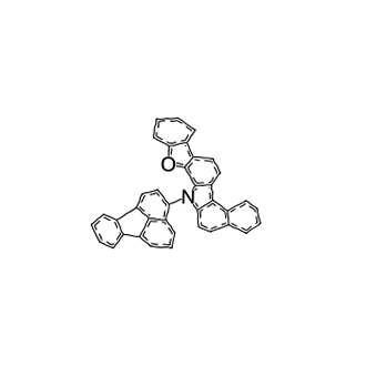 c1ccc2c(c1)-c1cccc3c(-n4c5ccc6ccccc6c5c5ccc6c7ccccc7oc6c54)ccc-2c13